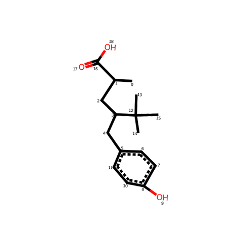 CC(CC(Cc1ccc(O)cc1)C(C)(C)C)C(=O)O